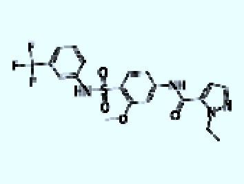 CCn1nccc1C(=O)Nc1ccc(S(=O)(=O)Nc2cccc(C(F)(F)F)c2)c(OC)c1